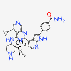 CC1(C)CNCCC1Nc1nc(-c2ccnc3[nH]c(-c4ccc(C(N)=O)cc4)cc23)nc2cncc(C3CC3)c12